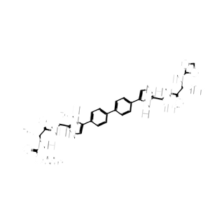 COC(=O)N[C@@H](C(=O)N[C@@H](c1ncc(-c2ccc(-c3ccc(-c4cnc([C@H](NC(=O)[C@H](NC5OCO5)C(C)C)C(C)C)[nH]4)cc3)cc2)[nH]1)C(C)C)C(C)C